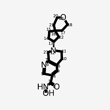 O=C(NO)c1cnc2c(c1)CCN([C@H]1CCC3(CCOCC3)C1)C2